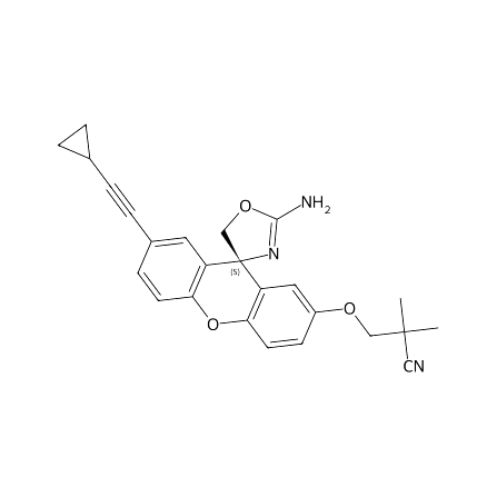 CC(C)(C#N)COc1ccc2c(c1)[C@]1(COC(N)=N1)c1cc(C#CC3CC3)ccc1O2